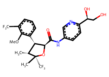 COc1c([C@@H]2[C@@H](C(=O)Nc3ccc([C@@H](O)CO)nc3)O[C@](C)(C(F)(F)F)[C@@H]2C)cccc1C(F)(F)F